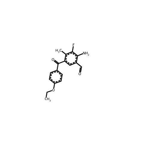 CCOc1ccc(C(=O)c2cc(C=O)c(N)c(F)c2C)cc1